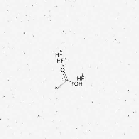 CC(=O)O.F.F.F